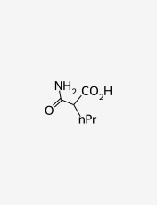 CCCC(C(N)=O)C(=O)O